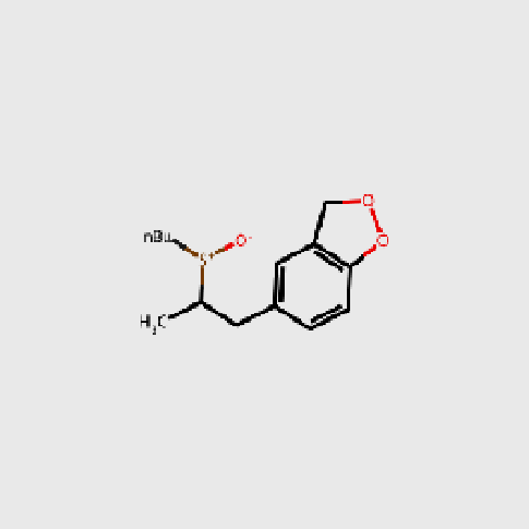 CCCC[S+]([O-])C(C)Cc1ccc2c(c1)COO2